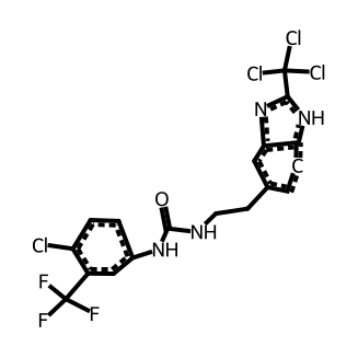 O=C(NCCc1ccc2[nH]c(C(Cl)(Cl)Cl)nc2c1)Nc1ccc(Cl)c(C(F)(F)F)c1